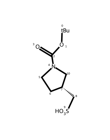 CC(C)(C)OC(=O)N1CC[C@@H](CS(=O)(=O)O)C1